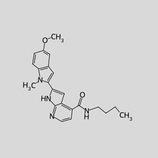 CCCCNC(=O)c1ccnc2[nH]c(-c3cc4cc(OC)ccc4n3C)cc12